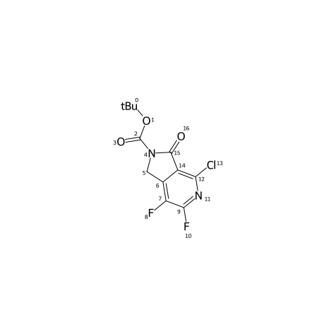 CC(C)(C)OC(=O)N1Cc2c(F)c(F)nc(Cl)c2C1=O